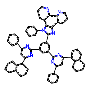 c1ccc(-c2cc(-c3cccc4ccccc34)nc(-c3cc(-c4nc(-c5ccccc5)cc(-c5cccc6ccccc56)n4)cc(-c4nc5c6cccnc6c6ncccc6c5n4-c4ccccc4)c3)n2)cc1